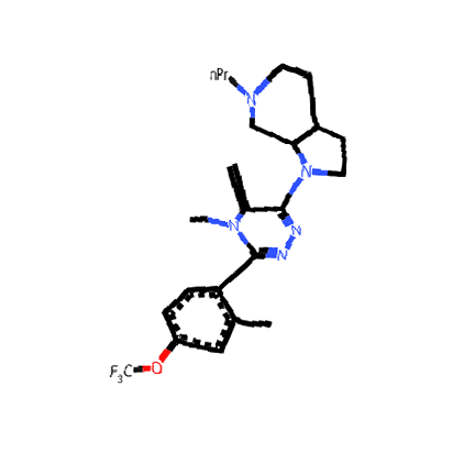 C=C1C(N2CCC3CCN(CCC)CC32)=NN=C(c2ccc(OC(F)(F)F)cc2C)N1C